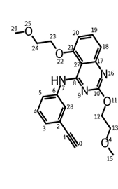 C#Cc1cccc(Nc2nc(OCCOC)nc3cccc(OCCOC)c23)c1